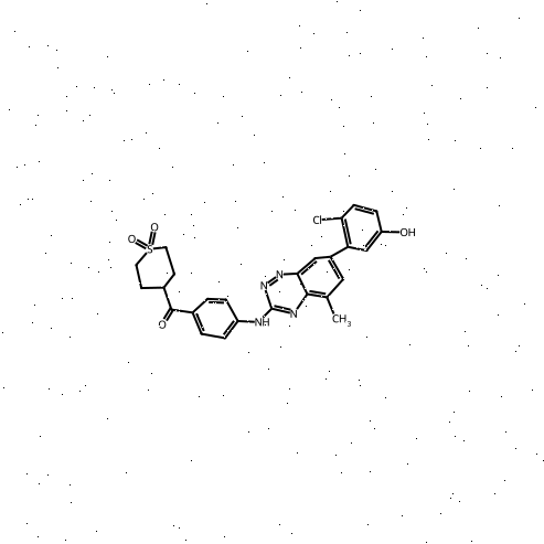 Cc1cc(-c2cc(O)ccc2Cl)cc2nnc(Nc3ccc(C(=O)C4CCS(=O)(=O)CC4)cc3)nc12